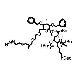 CCCCCCCCCCCCCC[C@@H](O[Si](C)(C)C(C)(C)C)[C@@H](O[Si](C)(C)C(C)(C)C)[C@H](CO[C@H]1OC(COCCSCC(C)CSCCN=[N+]=[N-])[C@H](OCc2ccccc2)[C@H](C)C1OCc1ccccc1)NC(=O)CCCC